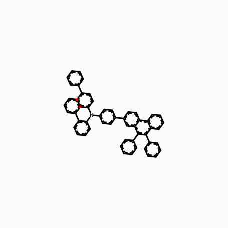 c1ccc(-c2ccc(N(c3ccc(-c4ccc5c(c4)c(-c4ccccc4)c(-c4ccccc4)c4ccccc45)cc3)c3ccccc3-c3ccccc3)cc2)cc1